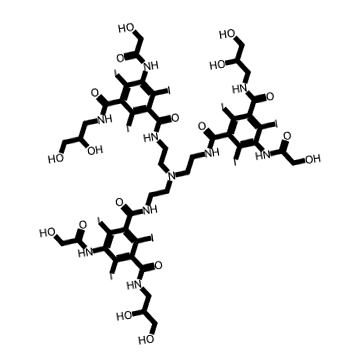 O=C(CO)Nc1c(I)c(C(=O)NCCN(CCNC(=O)c2c(I)c(NC(=O)CO)c(I)c(C(=O)NCC(O)CO)c2I)CCNC(=O)c2c(I)c(NC(=O)CO)c(I)c(C(=O)NCC(O)CO)c2I)c(I)c(C(=O)NCC(O)CO)c1I